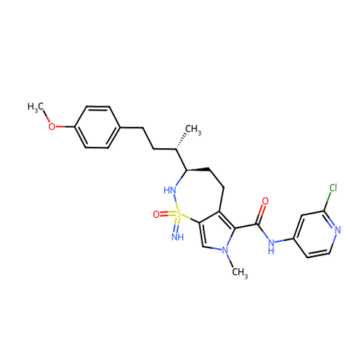 COc1ccc(CC[C@H](C)[C@H]2CCc3c(cn(C)c3C(=O)Nc3ccnc(Cl)c3)S(=N)(=O)N2)cc1